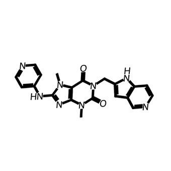 Cn1c(Nc2ccncc2)nc2c1c(=O)n(Cc1cc3cnccc3[nH]1)c(=O)n2C